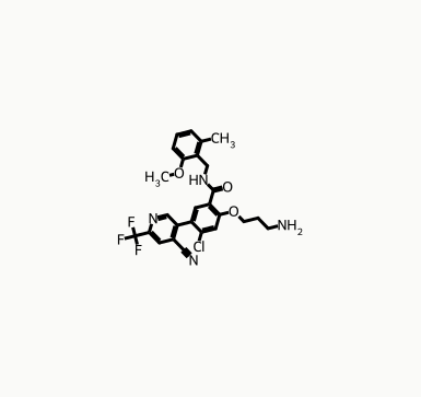 COc1cccc(C)c1CNC(=O)c1cc(-c2cnc(C(F)(F)F)cc2C#N)c(Cl)cc1OCCCN